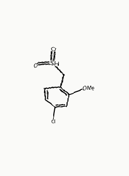 COc1cc(Cl)ccc1C[SH](=O)=O